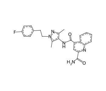 Cc1nn(CCc2ccc(F)cc2)c(C)c1NC(=O)c1cc(C(N)=O)nc2ccccc12